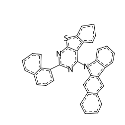 c1ccc2cc3c(cc2c1)c1ccccc1n3-c1nc(-c2cccc3ccccc23)nc2sc3ccccc3c12